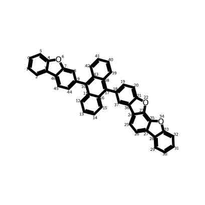 c1ccc2c(c1)oc1cc(-c3c4ccccc4c(-c4ccc5oc6c(ccc7c8ccccc8oc76)c5c4)c4ccccc34)ccc12